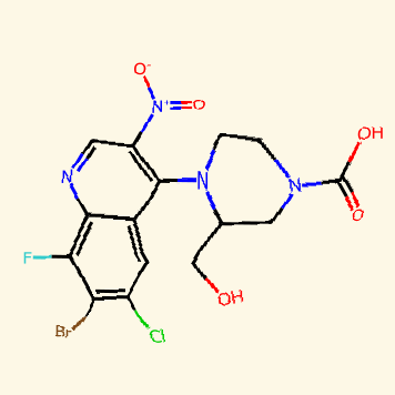 O=C(O)N1CCN(c2c([N+](=O)[O-])cnc3c(F)c(Br)c(Cl)cc23)C(CO)C1